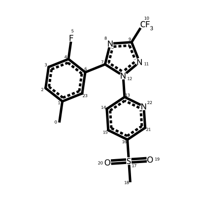 Cc1ccc(F)c(-c2nc(C(F)(F)F)nn2-c2ccc(S(C)(=O)=O)cn2)c1